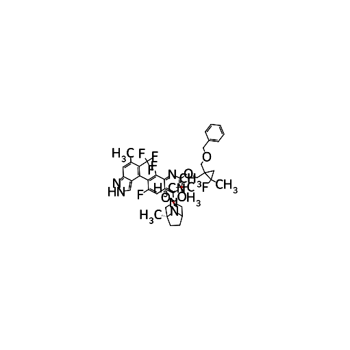 Cc1cc2n[nH]cc2c(-c2c(F)cc3c(N4CC5CC[C@@](C)(C4)N5C(=O)OC(C)(C)C)nc(OCC4(COCc5ccccc5)CC4(C)F)nc3c2F)c1C(F)(F)F